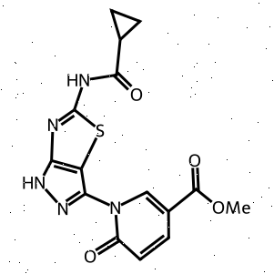 COC(=O)c1ccc(=O)n(-c2n[nH]c3nc(NC(=O)C4CC4)sc23)c1